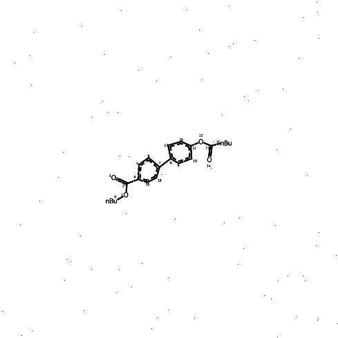 CCCCOC(=O)c1ccc(-c2ccc(OC(=O)CCCC)cc2)cc1